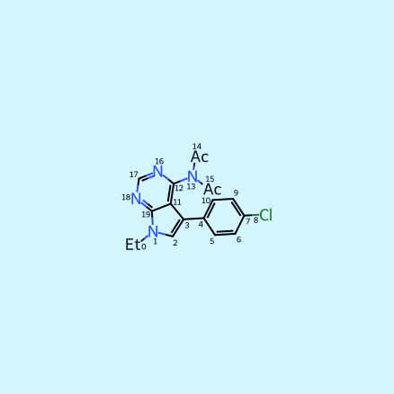 CCn1cc(-c2ccc(Cl)cc2)c2c(N(C(C)=O)C(C)=O)ncnc21